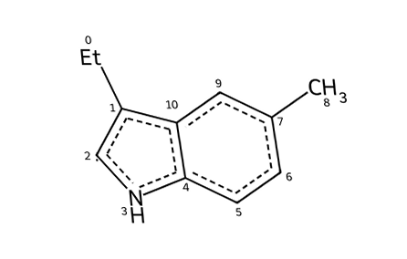 CCc1[c][nH]c2ccc(C)cc12